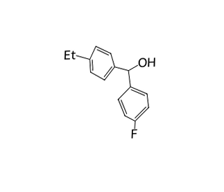 CCc1ccc(C(O)c2ccc(F)cc2)cc1